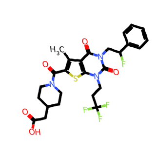 Cc1c(C(=O)N2CCC(CC(=O)O)CC2)sc2c1c(=O)n(CC(F)c1ccccc1)c(=O)n2CCC(F)(F)F